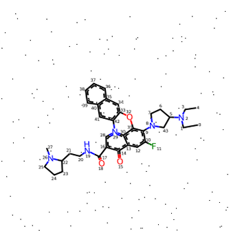 CCN(CC)C1CCN(c2c(F)cc3c(=O)c(C(=O)NCCC4CCCN4C)cn4c3c2Oc2cc3ccccc3cc2-4)C1